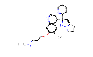 COc1cc2c(C3(c4ccccn4)C=C4CCCN4N3)ccnc2cc1OCCCN(C)C